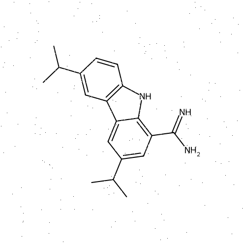 CC(C)c1ccc2[nH]c3c(C(=N)N)cc(C(C)C)cc3c2c1